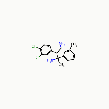 Cc1cccc(C(C)(N)C(CN)c2ccc(Cl)c(Cl)c2)c1